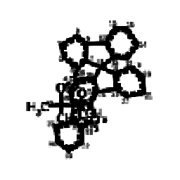 CC1(C)OB(c2cccc3c2C2(c4ccccc4-3)c3ccccc3-c3c2ccc2c3oc3ccccc32)OC1(C)C